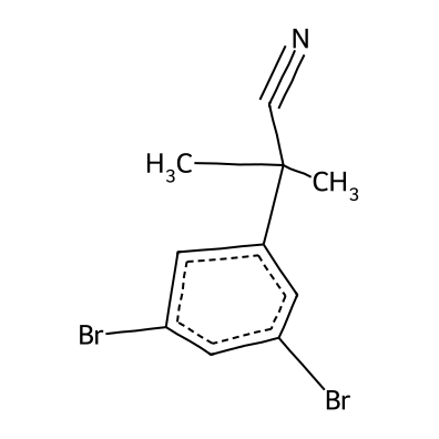 CC(C)(C#N)c1cc(Br)cc(Br)c1